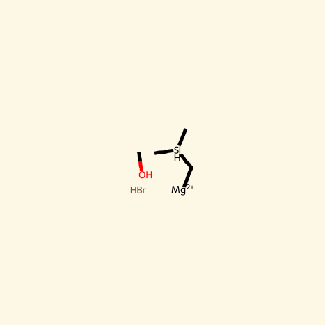 Br.CO.C[SiH](C)[CH2][Mg+2]